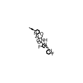 CC#Cc1ccc2c(n1)N(C)C(=O)[C@@H](NC(=O)c1nn(Cc3cccc(F)n3)cc1F)CO2